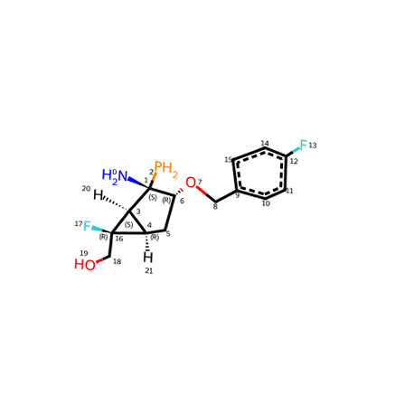 N[C@]1(P)[C@H]2[C@@H](C[C@H]1OCc1ccc(F)cc1)[C@]2(F)CO